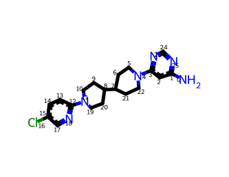 Nc1cc(N2CCC(C3CCN(c4ccc(Cl)cn4)CC3)CC2)ncn1